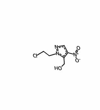 O=[N+]([O-])c1cnn(CCCl)c1CO